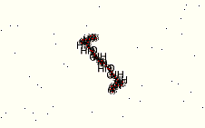 O=C(CCC(=O)NCCCN1CCN(CCCNC(=O)CCC(=O)NCCCNc2cc(-c3ccc4ccccc4c3)nc3ccccc23)CC1)NCCCNc1cc(-c2ccc3ccccc3c2)nc2ccccc12